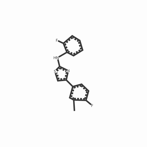 Cc1cc(-c2csc(Nc3ccccc3F)n2)ccc1F